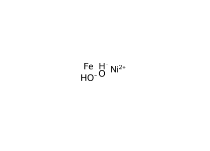 [Fe].[Ni+2].[OH-].[OH-]